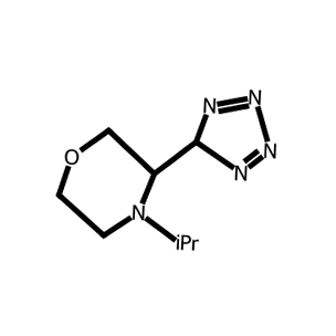 CC(C)N1CCOCC1C1N=NN=N1